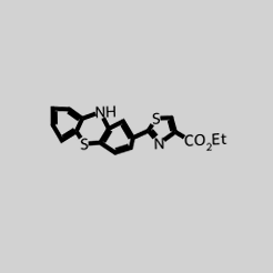 CCOC(=O)c1csc(-c2ccc3c(c2)Nc2ccccc2S3)n1